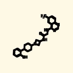 O=C(CNc1ncnc2ccc(C(F)(F)F)cc12)NC1CN(C2CCC(c3ccccc3O)CC2)C1